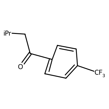 CC(C)CC(=O)c1ccc(C(F)(F)F)cc1